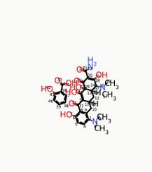 CN(C)c1ccc(O)c2c1C[C@H]1C[C@H]3[C@H](N(C)C)C(O)=C(C(N)=O)C(=O)[C@@]3(O)C(O)=C1C2=O.O=C(O)c1ccccc1O